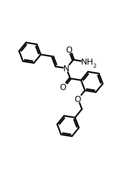 NC(=O)N(C=Cc1ccccc1)C(=O)c1ccccc1OCc1ccccc1